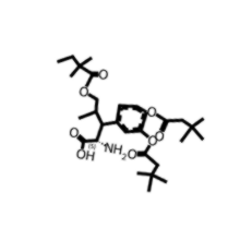 CCC(C)(C)C(=O)OCC(C)C(c1ccc(OC(=O)CC(C)(C)C)c(OC(=O)CC(C)(C)C)c1)[C@H](N)C(=O)O